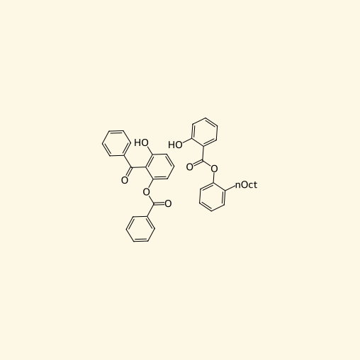 CCCCCCCCc1ccccc1OC(=O)c1ccccc1O.O=C(Oc1cccc(O)c1C(=O)c1ccccc1)c1ccccc1